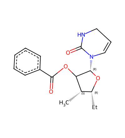 CC[C@H]1O[C@@H](N2C=CCNC2=O)C(OC(=O)c2ccccc2)[C@H]1C